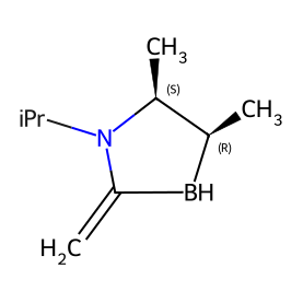 C=C1B[C@H](C)[C@H](C)N1C(C)C